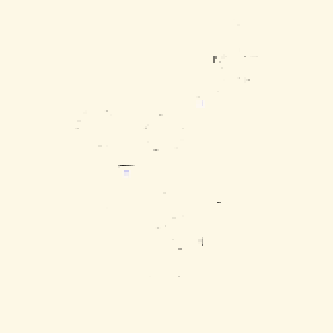 O=c1[nH]c(/C=C/c2ccc(/C(=C(\c3ccccc3)C3CCC3)c3ccc4c(c3)c(F)nn4C3CCCCO3)cc2)no1